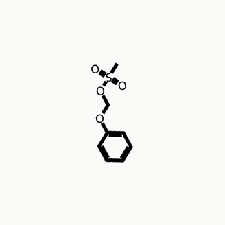 CS(=O)(=O)OCOc1ccccc1